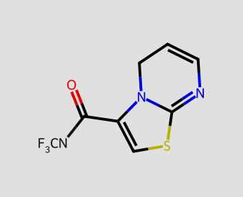 O=C(NC(F)(F)F)C1=CSC2=NC=CCN12